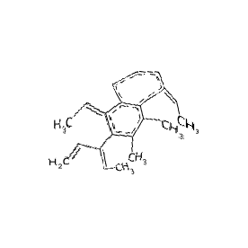 C=C/C(=C/C)c1c(C)c(C)c2/c(=C\C)cccc2/c1=C/C